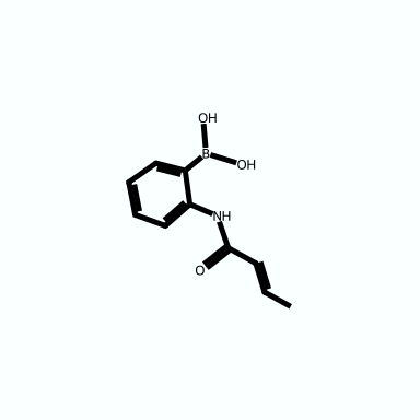 CC=CC(=O)Nc1ccccc1B(O)O